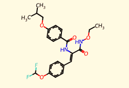 CCONC(=O)/C(=C/c1ccc(OC(F)F)cc1)NC(=O)c1ccc(OCC(C)C)cc1